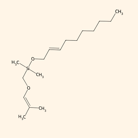 CCCCCCCC=CCO[Si](C)(C)COC=C(C)C